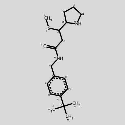 CSC(CC(=O)NCc1ccc(C(C)(C)C)cc1)C1CCCN1